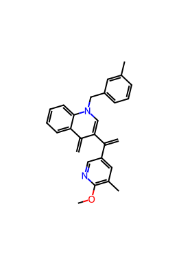 C=C(C1=CN(Cc2cccc(C)c2)c2ccccc2C1=C)c1cnc(OC)c(C)c1